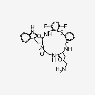 CN1C(=O)CNC(=O)C(CCCN)NCc2ccccc2Sc2c(F)ccc(F)c2CNC(=O)C1Cc1c[nH]c2ccccc12